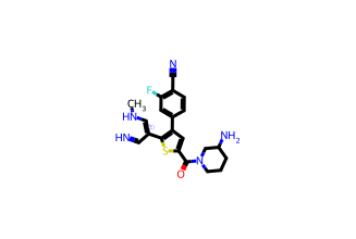 CN/C=C(\C=N)c1sc(C(=O)N2CCCC(N)C2)cc1-c1ccc(C#N)c(F)c1